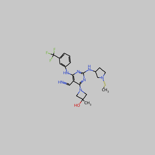 CSN1CCC(Nc2nc(Nc3cccc(C(F)(F)F)c3)c(C=N)c(N3CC(C)(O)C3)n2)C1